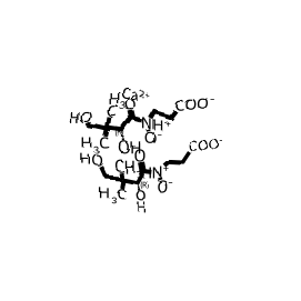 CC(C)(CO)[C@@H](O)C(=O)[NH+]([O-])CCC(=O)[O-].CC(C)(CO)[C@@H](O)C(=O)[NH+]([O-])CCC(=O)[O-].[Ca+2]